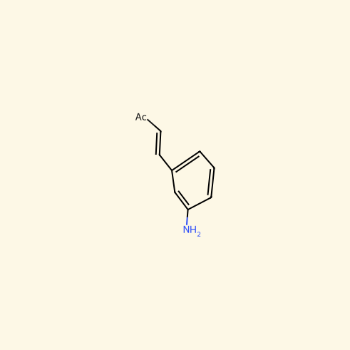 CC(=O)/C=C/c1cccc(N)c1